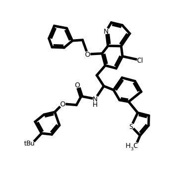 Cc1ccc(-c2cccc(C(Cc3cc(Cl)c4cccnc4c3OCc3ccccc3)NC(=O)COc3ccc(C(C)(C)C)cc3)c2)s1